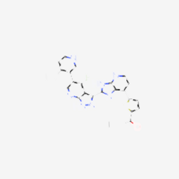 CC(=O)c1ccc(-c2ccnc3[nH]c(-c4n[nH]c5ncc(-c6cnccc6C)c(F)c45)nc23)s1